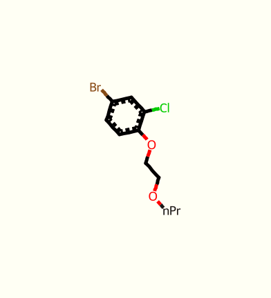 CCCOCCOc1ccc(Br)cc1Cl